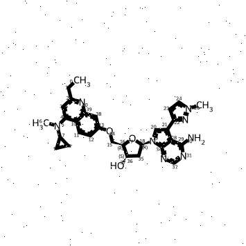 CCc1cc(N(C)C2CC2)c2ccc(OC[C@H]3O[C@@H](n4cc(-c5ccn(C)n5)c5c(N)ncnc54)C[C@@H]3O)cc2n1